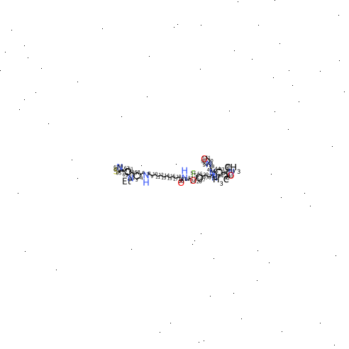 CCn1c2ccc(CNCCCCCCCCCCCC(=O)NCCOc3ccc(CCc4nc5cc(-c6c(C)noc6C)ccc5n4CCN4CCOCC4)cc3F)cc2c2ccc(-c3cscn3)cc21